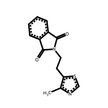 Cc1ncsc1CCN1C(=O)c2ccccc2C1=O